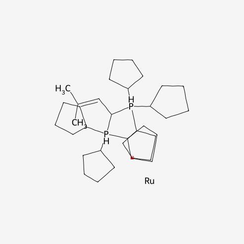 CC(C)=CC([PH](C1CCCC1)(C1CCCC1)C1CCCC1)[PH](C1CCCC1)(C1CCCC1)C1CCCC1.[Ru]